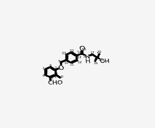 Cc1c(C=O)cccc1OCc1ccc(C(=O)NCC(C)(C)O)cc1